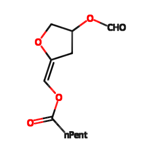 CCCCCC(=O)O/C=C1\CC(OC=O)CO1